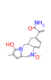 C=C(C(N)=O)C1=CC=C2C(C1)Cn1c(cc(C)c1O)C=[N+]2[O-]